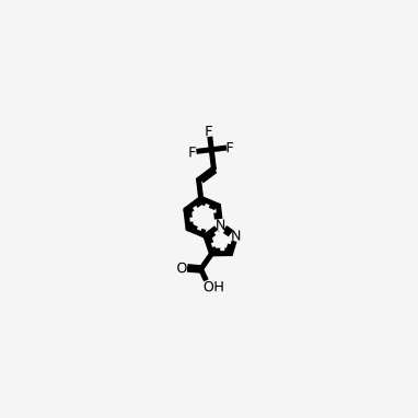 O=C(O)c1cnn2cc(C=CC(F)(F)F)ccc12